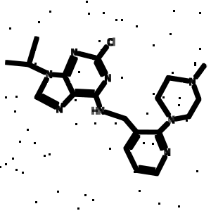 CC(C)n1cnc2c(NCc3cccnc3N3CCN(C)CC3)nc(Cl)nc21